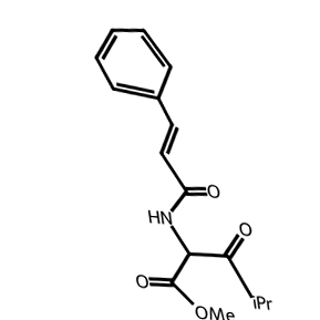 COC(=O)C(NC(=O)C=Cc1ccccc1)C(=O)C(C)C